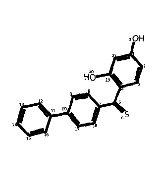 Oc1ccc(C(=S)c2ccc(-c3ccccc3)cc2)c(O)c1